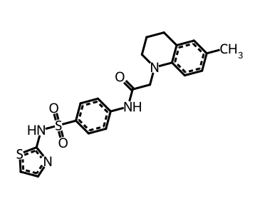 Cc1ccc2c(c1)CCCN2CC(=O)Nc1ccc(S(=O)(=O)Nc2nccs2)cc1